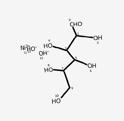 O=CC(O)C(O)C(O)C(O)CO.[Ni+2].[OH-].[OH-]